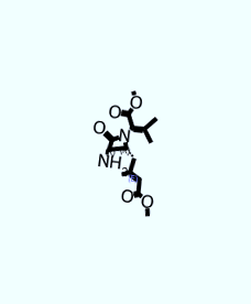 COC(=O)/C=C(\C)C[C@@H]1[C@@H](N)C(=O)N1C(C(=O)OC)=C(C)C